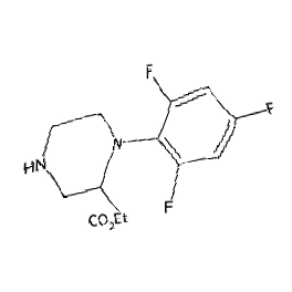 CCOC(=O)C1CNCCN1c1c(F)cc(F)cc1F